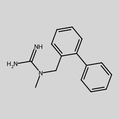 CN(Cc1ccccc1-c1ccccc1)C(=N)N